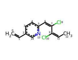 C=Cc1ccc(/C=C(Cl)\C(Cl)=C/C)nc1